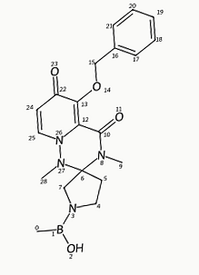 CB(O)N1CCC2(C1)N(C)C(=O)c1c(OCc3ccccc3)c(=O)ccn1N2C